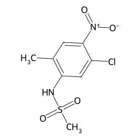 Cc1cc([N+](=O)[O-])c(Cl)cc1NS(C)(=O)=O